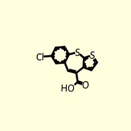 O=C(O)C1=Cc2cc(Cl)ccc2Sc2sccc21